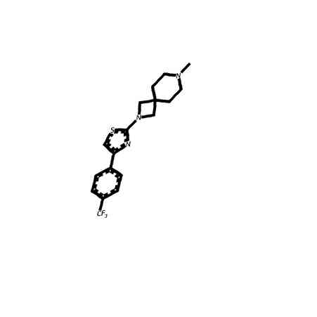 CN1CCC2(CC1)CN(c1nc(-c3ccc(C(F)(F)F)cc3)cs1)C2